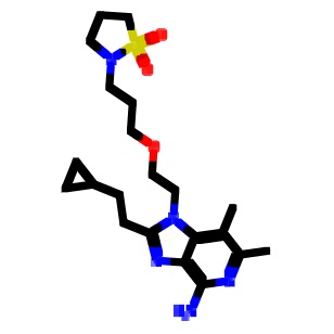 Cc1nc(N)c2nc(CCC3CC3)n(CCOCCCN3CCCS3(=O)=O)c2c1C